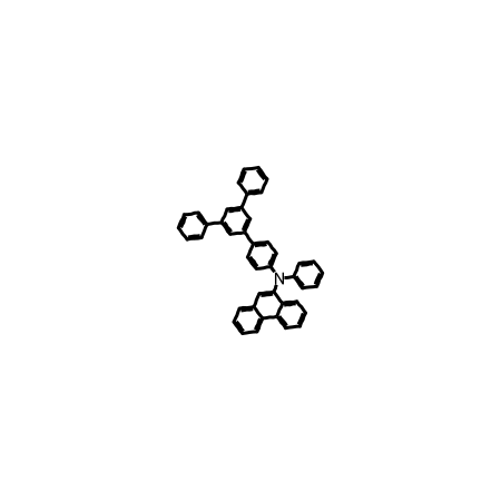 c1ccc(-c2cc(-c3ccccc3)cc(-c3ccc(N(c4ccccc4)c4cc5ccccc5c5ccccc45)cc3)c2)cc1